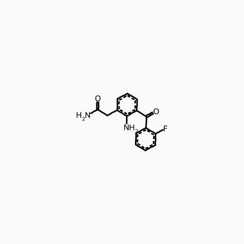 NC(=O)Cc1cccc(C(=O)c2ccccc2F)c1N